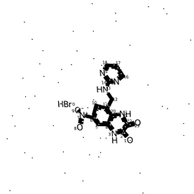 Br.O=c1[nH]c2cc([N+](=O)[O-])cc(CNc3ncccn3)c2[nH]c1=O